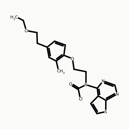 CCOCCc1ccc(OCCN(C(=O)Cl)c2ncnc3sccc23)c(C)c1